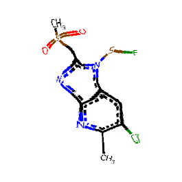 Cc1nc2nc(S(C)(=O)=O)n(SF)c2cc1Cl